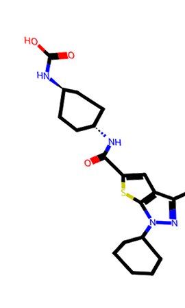 Cc1nn(C2CCCCC2)c2sc(C(=O)N[C@H]3CC[C@H](NC(=O)O)CC3)cc12